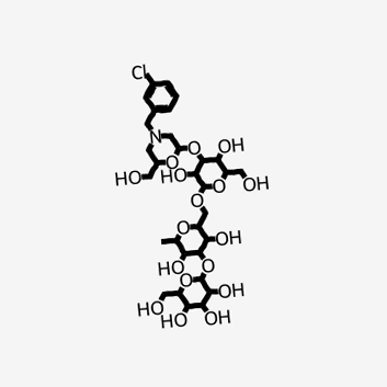 CC1OC(COC2OC(CO)C(O)C(OC3CN(Cc4cccc(Cl)c4)CC(CO)O3)C2O)C(O)C(OC2OC(CO)C(O)C(O)C2O)C1O